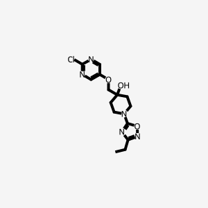 CCc1noc(N2CCC(O)(COc3cnc(Cl)nc3)CC2)n1